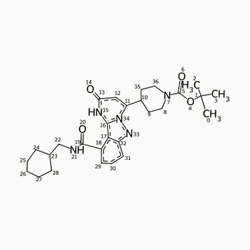 CC(C)(C)OC(=O)N1CCC(c2cc(=O)[nH]c3c4c(C(=O)NCC5CCCCC5)cccc4nn23)CC1